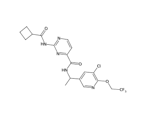 CC(NC(=O)c1ccnc(NC(=O)C2CCC2)n1)c1cnc(OCC(F)(F)F)c(Cl)c1